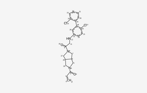 C=CC(=O)N1CC2CN(C(=O)CNc3ccc(Cl)c(-c4ccccc4Cl)c3)CC2C1